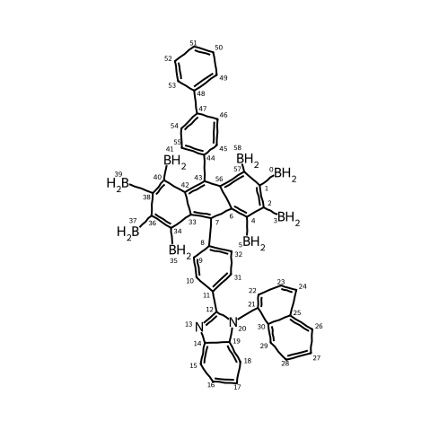 Bc1c(B)c(B)c2c(-c3ccc(-c4nc5ccccc5n4-c4cccc5ccccc45)cc3)c3c(B)c(B)c(B)c(B)c3c(-c3ccc(-c4ccccc4)cc3)c2c1B